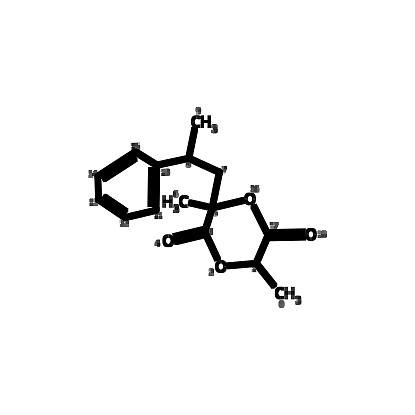 CC1OC(=O)C(C)(CC(C)c2ccccc2)OC1=O